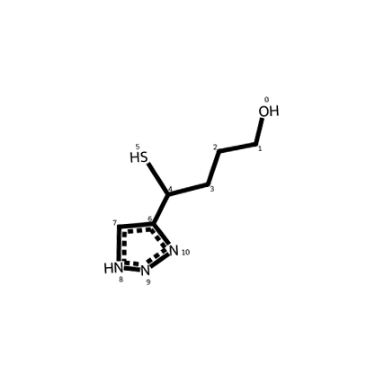 OCCCC(S)c1c[nH]nn1